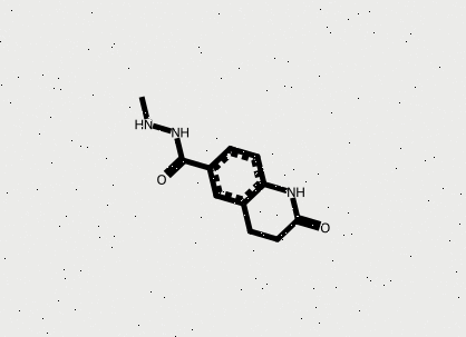 CNNC(=O)c1ccc2c(c1)CCC(=O)N2